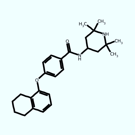 CC1(C)CC(NC(=O)c2ccc(Oc3cccc4c3CCCC4)cc2)CC(C)(C)N1